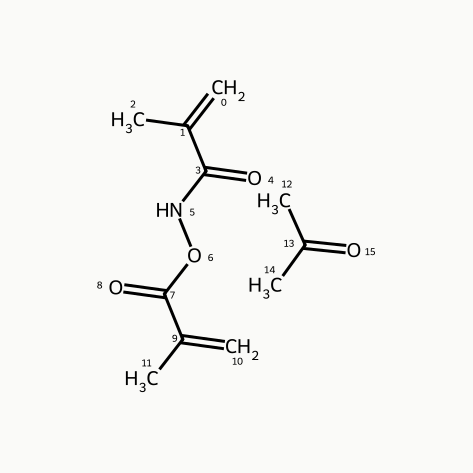 C=C(C)C(=O)NOC(=O)C(=C)C.CC(C)=O